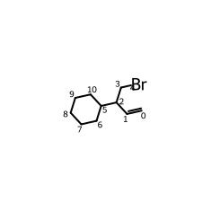 C=CC(CBr)C1CCCCC1